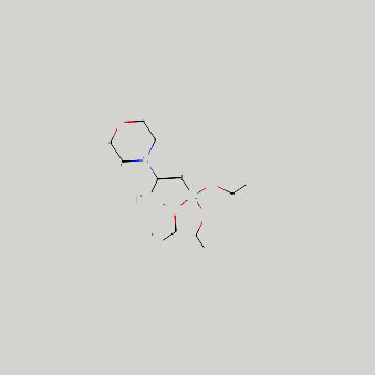 CCO[Si](CC(C)N1CCOCC1)(OCC)OCC